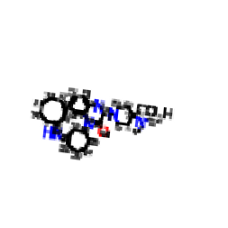 CN(C)C1(C(=O)O)CCN(c2nc3ccccc3n([C@H]3CCCC[C@H](NC4CCCCCCC4)C3)c2=O)CC1